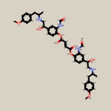 COc1ccc(CC(C)NCC(O)c2ccc(OC(=O)/C=C/C(=O)Oc3ccc(C(O)CNC(C)Cc4ccc(OC)cc4)cc3NC=O)c(NC=O)c2)cc1